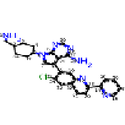 NCC1CCC(n2cc(-c3cc4nc(-c5ccccn5)ccc4cc3Cl)c3c(N)ncnc32)CC1